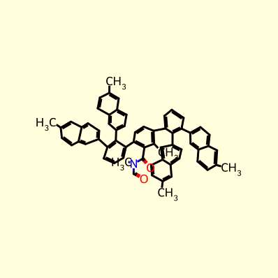 Cc1ccc2cc(-c3cccc(-c4ccc(-c5cccc(-c6ccc7cc(C)ccc7c6)c5-c5ccc6cc(C)ccc6c5)c(C(=O)N(C)C=O)c4C)c3-c3ccc4cc(C)ccc4c3)ccc2c1